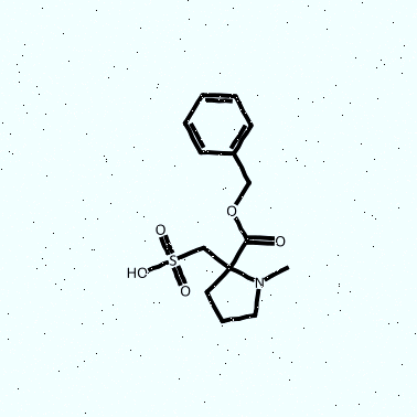 CN1CCCC1(CS(=O)(=O)O)C(=O)OCc1ccccc1